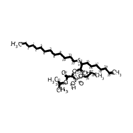 CCCCCCCCCCCCCSC(CCCCCCC)C(C)OC(C(=O)OC(C)C)P(=O)(O)OCCC